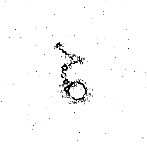 CO[C@H]1/C=C/O[C@@]2(C)Oc3c(C)c(O)c4c(=O)c(c5oc6cc(N7CCN(Cc8ccc(NC(=O)[C@H](CCCNC(N)=O)NC(=O)[C@@H](NC(=O)CCCCCN9C(=O)C=CC9=O)C(C)C)cc8)CC7)cc(O)c6nc-5c4c3C2=O)NC(=O)/C(C)=C\C=C\[C@H](C)C[C@@H](C)C[C@@H](C)[C@H](OC(C)=O)[C@@H]1C